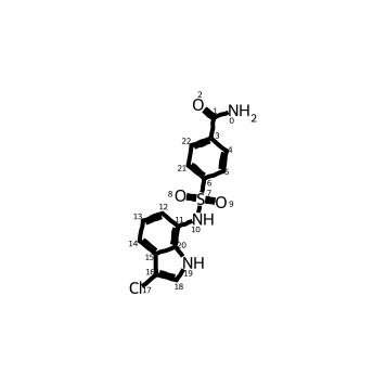 NC(=O)c1ccc(S(=O)(=O)Nc2cccc3c(Cl)c[nH]c23)cc1